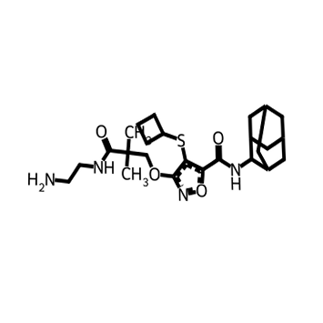 CC(C)(COc1noc(C(=O)NC2C3CC4CC(C3)CC2C4)c1SC1CCC1)C(=O)NCCN